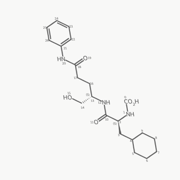 O=C(O)N[C@@H](CC1CCCCC1)C(=O)N[C@H](CO)CCC(=O)Nc1ccccc1